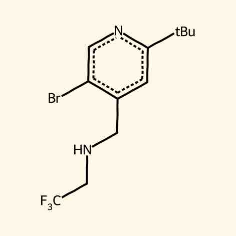 CC(C)(C)c1cc(CNCC(F)(F)F)c(Br)cn1